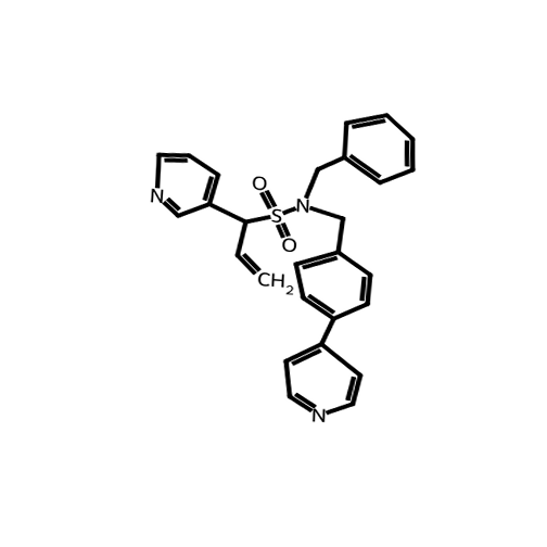 C=CC(c1cccnc1)S(=O)(=O)N(Cc1ccccc1)Cc1ccc(-c2ccncc2)cc1